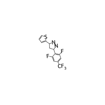 Fc1cc(C(F)(F)F)cc(F)c1C1CC(c2cccs2)N=N1